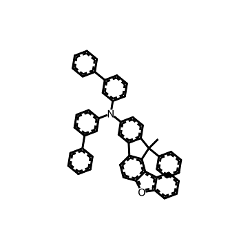 CC1(c2ccccc2)c2ccc(N(c3cccc(-c4ccccc4)c3)c3cccc(-c4ccccc4)c3)cc2-c2ccc3oc4ccccc4c3c21